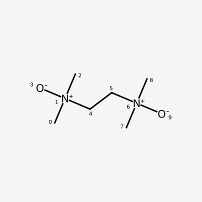 C[N+](C)([O-])CC[N+](C)(C)[O-]